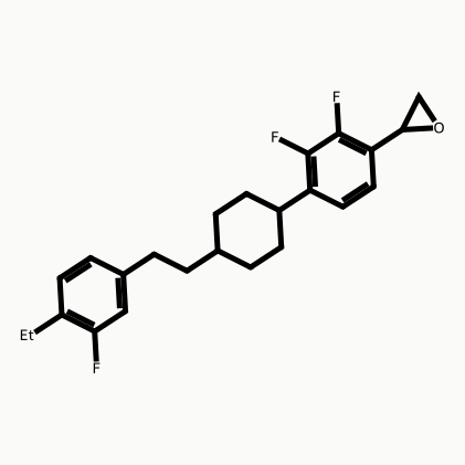 CCc1ccc(CCC2CCC(c3ccc(C4CO4)c(F)c3F)CC2)cc1F